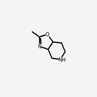 CC1=NC2CNCCC2O1